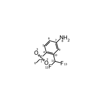 CS(=O)(=O)c1ccc(N)cc1C(F)F